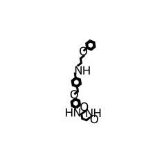 O=C1CCC(Nc2ccc(OCc3ccc(CNCCCCOc4ccccc4)cc3)cc2)C(=O)N1